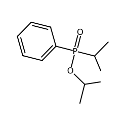 CC(C)OP(=O)(c1ccccc1)C(C)C